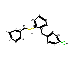 Clc1ccc([CH]c2ccccc2SCc2ccccc2)cc1